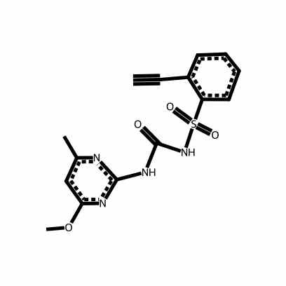 C#Cc1ccccc1S(=O)(=O)NC(=O)Nc1nc(C)cc(OC)n1